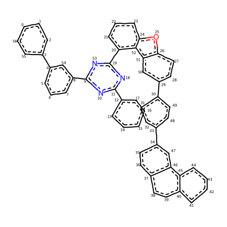 c1ccc(-c2cccc(-c3nc(-c4ccccc4)nc(-c4cccc5oc6ccc(-c7ccc(-c8ccc9ccc%10ccccc%10c9c8)cc7)cc6c45)n3)c2)cc1